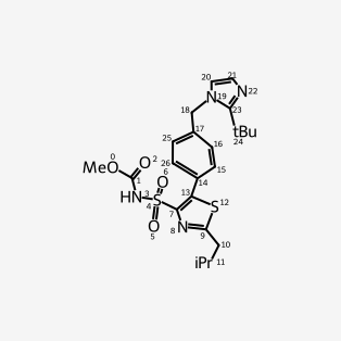 COC(=O)NS(=O)(=O)c1nc(CC(C)C)sc1-c1ccc(Cn2ccnc2C(C)(C)C)cc1